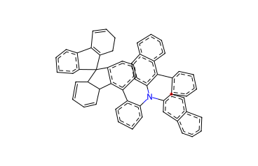 C1=CC2c3c(-c4ccccc4N(c4ccc5ccccc5c4)c4ccc5ccccc5c4-c4ccccc4)cccc3C3(C4=C(C=CCC4)c4ccccc43)C2C=C1